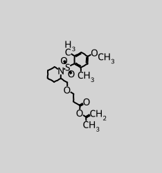 C=C(C)OC(=O)CCOCC1CCCCN1S(=O)(=O)c1c(C)cc(OC)cc1C